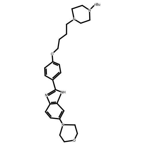 C[CH]CCN1CCN(CCCCOc2ccc(-c3nc4ccc(N5CCOCC5)cc4[nH]3)cc2)CC1